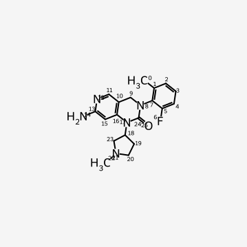 Cc1cccc(F)c1N1Cc2cnc(N)cc2N(C2CCN(C)C2)C1=O